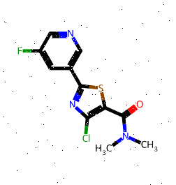 CN(C)C(=O)c1sc(-c2cncc(F)c2)nc1Cl